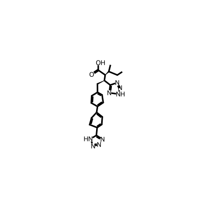 CCC(C)[C@H](C(=O)O)[C@H](Cc1ccc(-c2ccc(-c3nnn[nH]3)cc2)cc1)c1nn[nH]n1